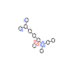 C1=CC2Oc3c(-c4ccc(-c5ccc(-c6cc(-c7ccccn7)cc(-c7ccccn7)c6)cc5)cc4)ccc(-c4nc(-c5ccccc5)nc(-c5ccc(-c6ccccc6)cc5)n4)c3OC2C=C1